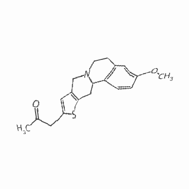 COc1ccc2c(c1)CCN1Cc3cc(CC(C)=O)sc3CC21